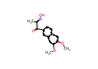 COc1cc2ccc(C(=O)C(C)=NO)cc2cc1OC